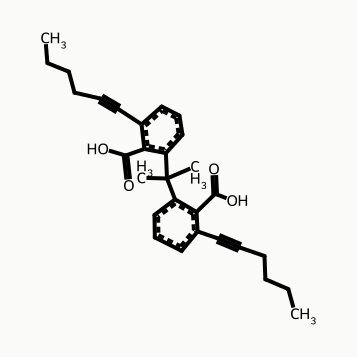 CCCCC#Cc1cccc(C(C)(C)c2cccc(C#CCCCC)c2C(=O)O)c1C(=O)O